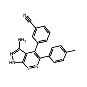 Cc1ccc(-c2nnc3[nH]nc(N)c3c2-c2cccc(C#N)c2)cc1